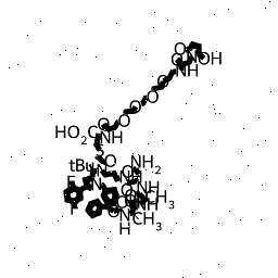 C[C@H](NC(=O)[C@H](C)NC(O)OCc1ccccc1)C(=O)N[C@@H](CC(N)=O)C(=O)NCCCN(C(=O)CSC[C@H](NC(=O)CCOCCOCCOCCOCCNC(=O)CN1C(=O)C=CC1O)C(=O)O)[C@@H](c1cc(-c2cc(F)ccc2F)cn1Cc1ccccc1)C(C)(C)C